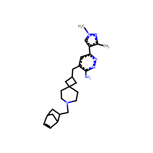 Cc1nn(C)cc1-c1cc(CC2CC3(CCN(CC4CC5C=CC4C5)CC3)C2)c(N)nn1